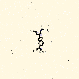 CCC/C=C/C(=C\C=C(/C)F)c1cc2nc(/C(C=N)=C/NC)ccc2s1